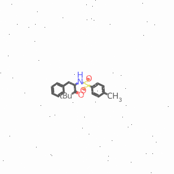 Cc1ccc(S(=O)(=O)NC(Cc2ccccc2)C(=O)C(C)(C)C)cc1